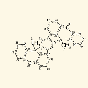 CC1(c2ccc(C3(C)c4ccccc4Oc4ccccc43)cc2)c2ccccc2Oc2ccccc21